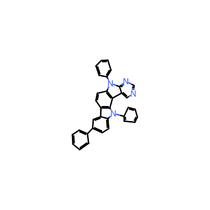 c1ccc(-c2ccc3c(c2)c2ccc4c(c5cncnc5n4-c4ccccc4)c2n3-c2ccccc2)cc1